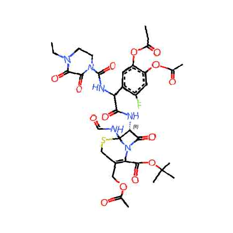 CCN1CCN(C(=O)NC(C(=O)N[C@@H]2C(=O)N3C(C(=O)OC(C)(C)C)=C(COC(C)=O)CSC23NC=O)c2cc(OC(C)=O)c(OC(C)=O)cc2F)C(=O)C1=O